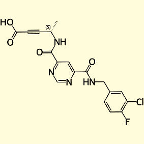 C[C@@H](C#CC(=O)O)NC(=O)c1cc(C(=O)NCc2ccc(F)c(Cl)c2)ncn1